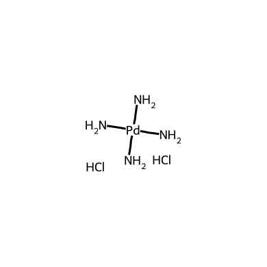 Cl.Cl.[NH2][Pd]([NH2])([NH2])[NH2]